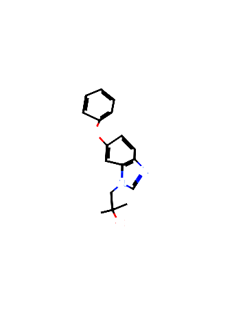 CC(C)(O)Cn1cnc2ccc(Oc3ccccc3)cc21